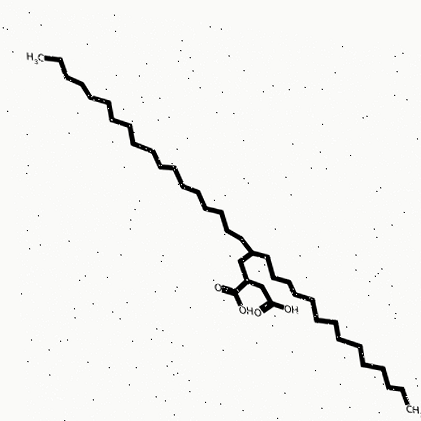 CCCCCCCCCCCCCCCCCCC(CCCCCCCCCCCCCC)CC(CC(=O)O)C(=O)O